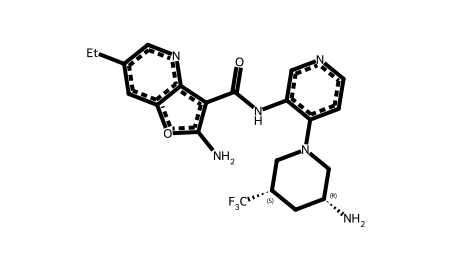 CCc1cnc2c(C(=O)Nc3cnccc3N3C[C@H](N)C[C@H](C(F)(F)F)C3)c(N)oc2c1